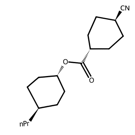 CCC[C@H]1CC[C@H](OC(=O)[C@H]2CC[C@H](C#N)CC2)CC1